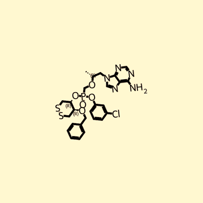 C[C@H](Cn1cnc2c(N)ncnc21)OCP(=O)(Oc1cccc(Cl)c1)O[C@H]1CSSC[C@@H]1OCc1ccccc1